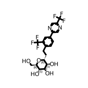 OC[C@H]1O[C@H](CCc2ccc(-c3cnc(C(F)(F)F)cn3)cc2C(F)(F)F)[C@@H](O)[C@@H](O)[C@@H]1O